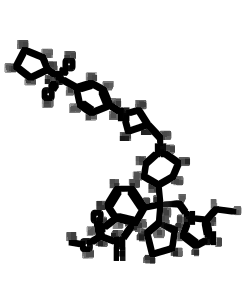 CCc1nccn1C[C@@](c1cccc(F)c1)(C1CCN(CC2CN(c3ccc(S(=O)(=O)C4CCCC4)cc3)C2)CC1)[C@H]1CCC[C@@H]1CNC(=O)OC